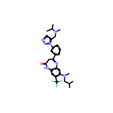 CC(C)CN(C)c1cc2c(cc1C(F)(F)F)NC(=O)CC(c1cccc(-n3nncc3CN(C)C(C)C)c1)=N2